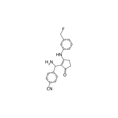 N#Cc1ccc(C(N)C2=C(Nc3cccc(CF)c3)CCC2=O)cc1